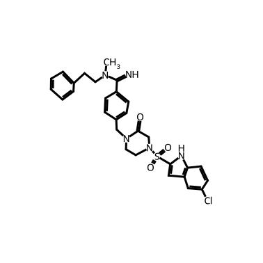 CN(CCc1ccccc1)C(=N)c1ccc(CN2CCN(S(=O)(=O)c3cc4cc(Cl)ccc4[nH]3)CC2=O)cc1